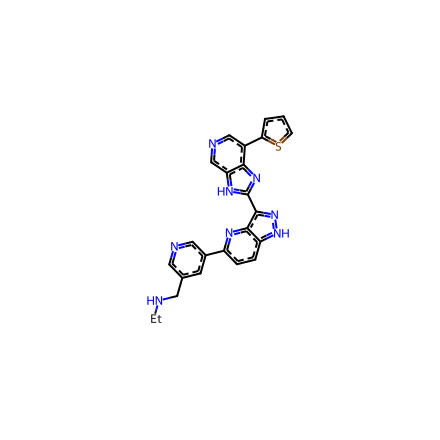 CCNCc1cncc(-c2ccc3[nH]nc(-c4nc5c(-c6cccs6)cncc5[nH]4)c3n2)c1